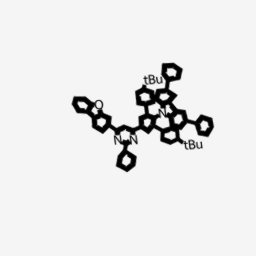 CC(C)(C)c1ccc(-c2cc(-c3cc(-c4ccc5c(c4)oc4ccccc45)nc(-c4ccccc4)n3)cc(C3=CCC(C(C)(C)C)C=C3)c2-n2c3ccc(-c4ccccc4)cc3c3cc(-c4ccccc4)ccc32)cc1